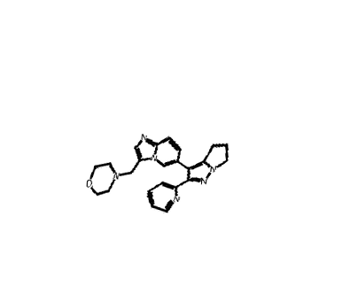 c1ccc(-c2nn3c(c2-c2ccc4ncc(CN5CCOCC5)n4c2)CCC3)nc1